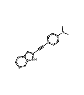 CN(C)c1ccc(C#Cc2cc3ccncc3[nH]2)cc1